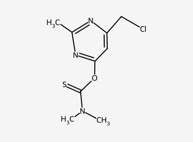 Cc1nc(CCl)cc(OC(=S)N(C)C)n1